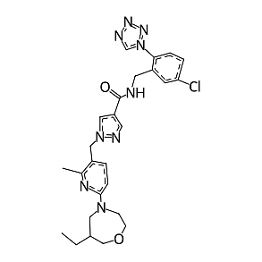 CCC1COCCN(c2ccc(Cn3cc(C(=O)NCc4cc(Cl)ccc4-n4cnnn4)cn3)c(C)n2)C1